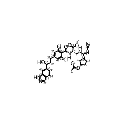 COC(=O)[C@H](CN/C(=N\C#N)N1CC[C@H](OC(C)=O)C1)NC(=O)c1c(Cl)cc(CCC(O)c2ccc3cn[nH]c3c2)cc1Cl